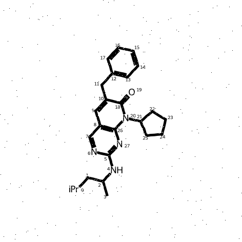 CC(C)CC(C)Nc1ncc2cc(Cc3ccccc3)c(=O)n(C3CCCC3)c2n1